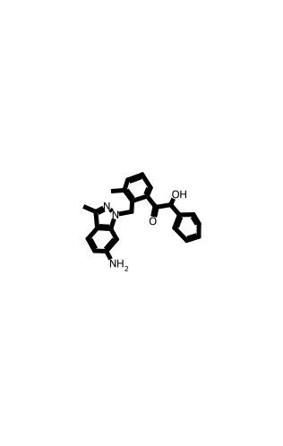 Cc1cccc(C(=O)C(O)c2ccccc2)c1Cn1nc(C)c2ccc(N)cc21